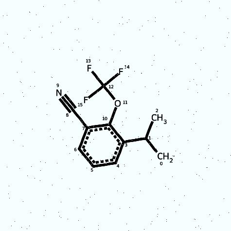 [CH2]C(C)c1cccc(C#N)c1OC(F)(F)F